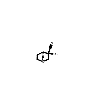 N#CC1(O)CN2CCC1CC2